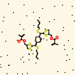 C=C(C)C(=O)OCC1CSC(C(SCCCC)C2CCC(C(SCCCC)C3SCC(COC(=O)C(=C)C)S3)CC2)S1